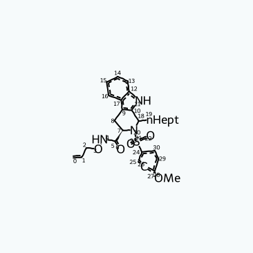 C=CCONC(=O)[C@H]1Cc2c([nH]c3ccccc23)C(CCCCCCC)N1S(=O)(=O)c1ccc(OC)cc1